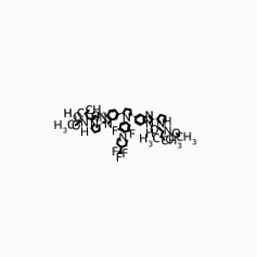 COC(=O)NC(C(=O)N1CCC[C@H]1c1nc2cc([C@H]3CC[C@H](c4ccc5[nH]c([C@@H]6CCCN6C(=O)[C@@H](NC(=O)OC)C(C)C)nc5c4)N3c3cc(F)c(N4CCC(C(F)(F)F)CC4)c(F)c3)ccc2[nH]1)C(C)C